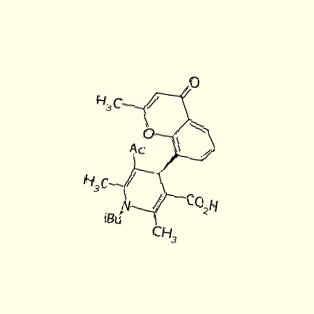 CC[C@H](C)N1C(C)=C(C(C)=O)[C@@H](c2cccc3c(=O)cc(C)oc23)C(C(=O)O)=C1C